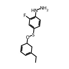 CCC1=CC=CC(OSc2ccc(NN)c(F)c2)C1